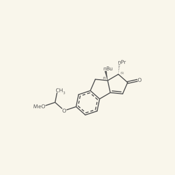 CCCC[C@]12Cc3cc(OC(C)OC)ccc3C1=CC(=O)[C@H]2CCC